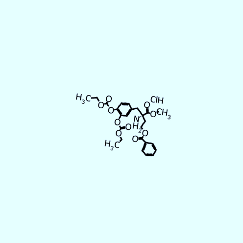 CCOC(=O)Oc1ccc(C[C@](N)(CCOC(=O)c2ccccc2)C(=O)OC)cc1OC(=O)OCC.Cl